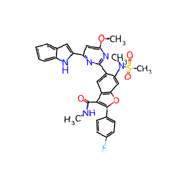 CNC(=O)c1c(-c2ccc(F)cc2)oc2cc(N(C)S(C)(=O)=O)c(-c3nc(OC)cc(-c4cc5ccccc5[nH]4)n3)cc12